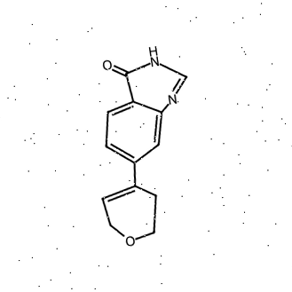 O=c1[nH]cnc2cc(C3=CCOCC3)ccc12